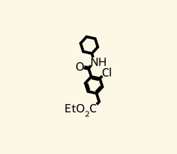 CCOC(=O)Cc1ccc(C(=O)NC2CCCCC2)c(Cl)c1